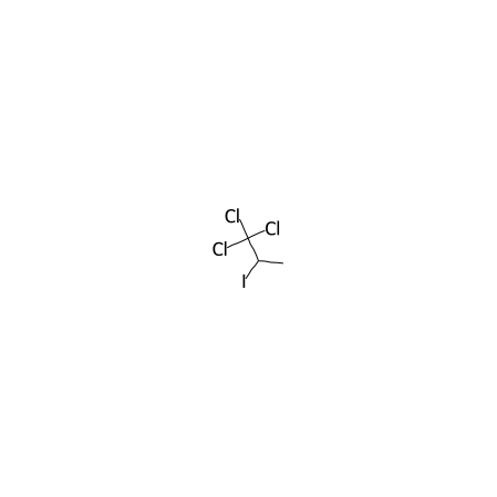 CC(I)C(Cl)(Cl)Cl